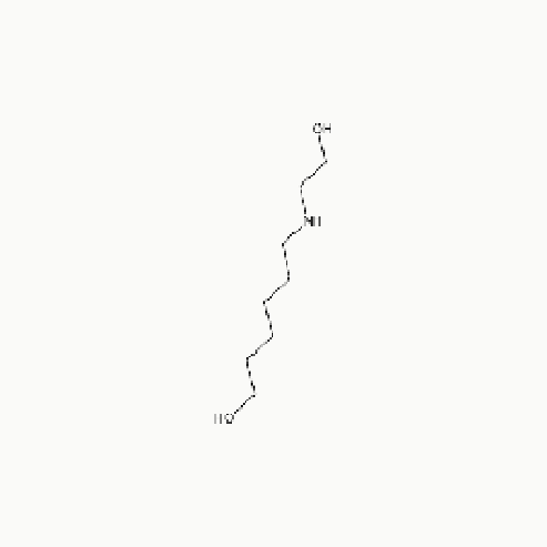 OCCCCCCNCCO